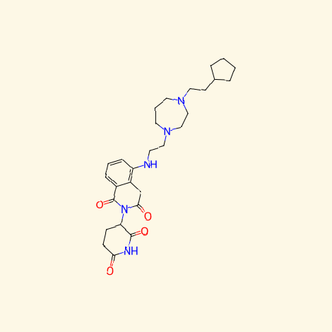 O=C1CCC(N2C(=O)Cc3c(NCCN4CCCN(CCC5CCCC5)CC4)cccc3C2=O)C(=O)N1